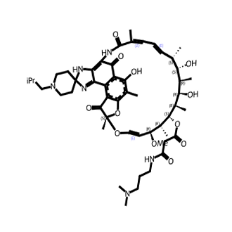 CO[C@H]1/C=C/O[C@@]2(C)Oc3c(C)c(O)c4c(c3C2=O)C2=NC3(CCN(CC(C)C)CC3)NC2=C(NC(=O)/C(C)=C\C=C\[C@H](C)[C@H](O)[C@@H](C)[C@@H](O)[C@@H](C)[C@H](OC(=O)CC(=O)NCCCN(C)C)[C@@H]1C)C4=O